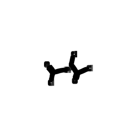 CC(C)C(=O)Cl.O=C(Cl)CCl